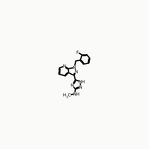 CNc1n[nH]c(-c2nn(Cc3ccccc3F)c3ncccc23)n1